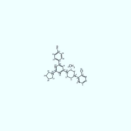 C[C@@H]1CN(c2ncccc2Cl)CCN1c1cc(-c2ccc(F)cc2)nc(N2CCCC2)n1